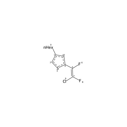 CCCCCCc1csc(C(F)=C(F)Cl)c1